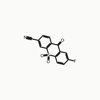 N#Cc1ccc2c(c1)S(=O)(=O)c1ccc(F)cc1C2=O